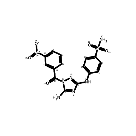 Nc1nc(Nc2ccc(S(N)(=O)=O)cc2)nn1C(=O)c1cccc([N+](=O)[O-])c1